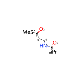 CSC(=O)CCNC(=O)C(C)C